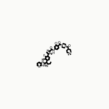 CCc1n[nH]c(Nc2cccnc2)c1-c1ccc(-c2cnc(C(=O)Nc3ccc(C(=O)N4CCN(C(=O)C5CC[N+](C)(C)CC5)CC4)c(Cl)c3)n2C)c(F)c1F